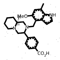 COc1cc(C)c2[nH]ccc2c1CN1C[C@@H]2CCCCN2CC1c1ccc(C(=O)O)cc1